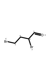 O=CC(Br)CCBr